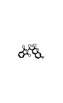 CC(c1cc2ccc(F)cc2nc1Cl)N1C(=O)c2ccccc2C1=O